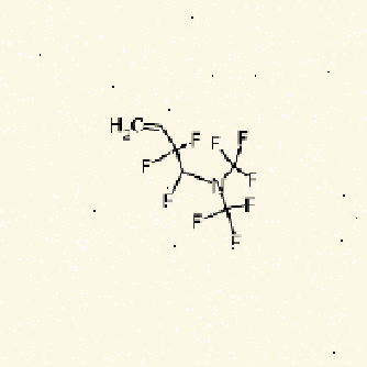 C=CC(F)(F)C(F)N(C(F)(F)F)C(F)(F)F